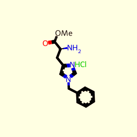 COC(=O)[C@@H](N)Cc1cn(Cc2ccccc2)cn1.Cl